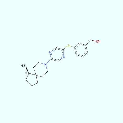 C[C@@H]1CCCC12CCN(c1cnc(Sc3cccc(CO)c3)cn1)CC2